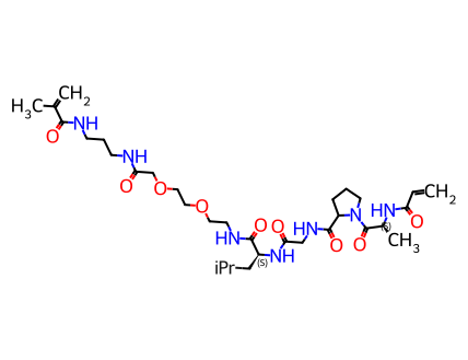 C=CC(=O)N[C@@H](C)C(=O)N1CCCC1C(=O)NCC(=O)N[C@@H](CC(C)C)C(=O)NCCOCCOCC(=O)NCCCNC(=O)C(=C)C